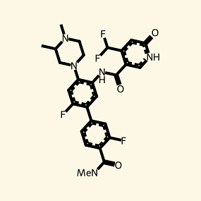 CNC(=O)c1ccc(-c2cc(NC(=O)c3c[nH]c(=O)cc3C(F)F)c(N3CCN(C)C(C)C3)cc2F)cc1F